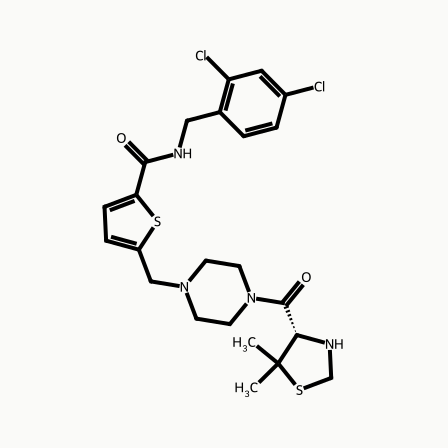 CC1(C)SCN[C@H]1C(=O)N1CCN(Cc2ccc(C(=O)NCc3ccc(Cl)cc3Cl)s2)CC1